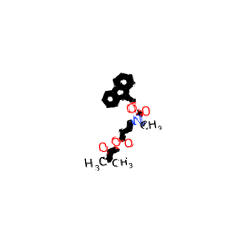 CC(C)C(=O)COC(=O)CCCN(C)C(=O)OCC1c2ccccc2-c2ccccc21